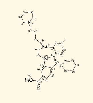 Cc1ccc2c(c1)N(CCCCN1CCCCC1)CCn1c-2c(C2CCCCC2)c2ccc(C(=O)O)cc21